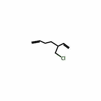 C=CCCC(C=C)CCl